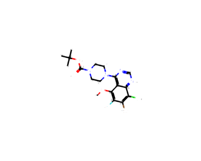 COc1c(F)c(Br)c(Cl)c2ncnc(N3CCN(C(=O)OC(C)(C)C)CC3)c12